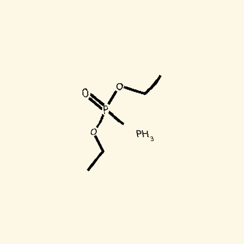 CCOP(C)(=O)OCC.P